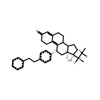 CC(F)(F)[C@](C)(F)[C@]1(O)CCC2C3CCC4=CC(=O)CCC4=C3[C@@H](c3ccc(CCc4ccccc4)cc3)C[C@@]21C